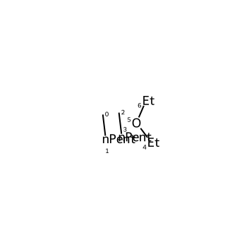 CCCCCC.CCCCCC.CCOCC